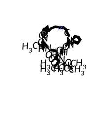 CC[C@@H]1C[C@@]12NC(=O)[C@@H]1C[C@H](CN1C(=O)C(NC(=O)OC(C)(C)C)C(C)(C)C)Oc1nc3ccccc3n1CCC/C=C\CCC1(CC1)S(=O)(=O)NC2=O